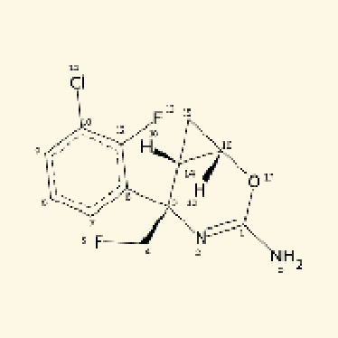 NC1=N[C@](CF)(c2cccc(Cl)c2F)[C@@H]2C[C@@H]2O1